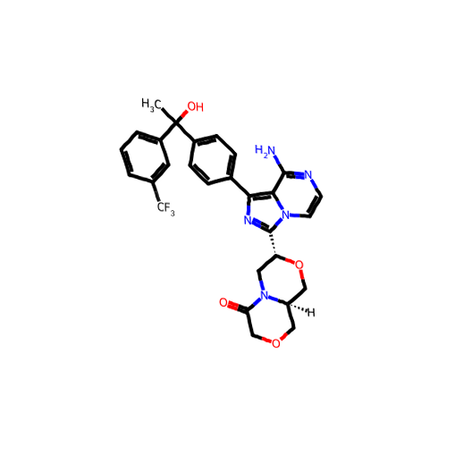 CC(O)(c1ccc(-c2nc([C@H]3CN4C(=O)COC[C@@H]4CO3)n3ccnc(N)c23)cc1)c1cccc(C(F)(F)F)c1